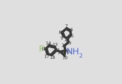 NC1(CCc2ccccc2)CC1c1ccc(F)cc1